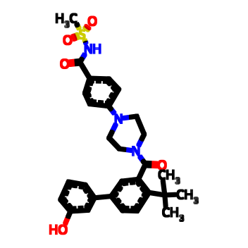 CC(C)(C)c1ccc(-c2cccc(O)c2)cc1C(=O)N1CCN(c2ccc(C(=O)NS(C)(=O)=O)cc2)CC1